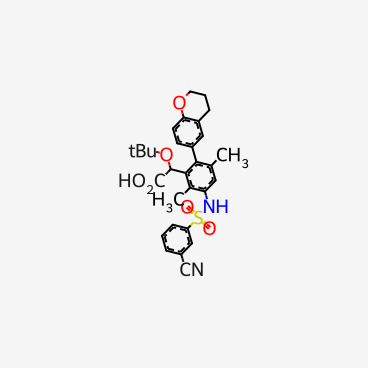 Cc1cc(NS(=O)(=O)c2cccc(C#N)c2)c(C)c(C(OC(C)(C)C)C(=O)O)c1-c1ccc2c(c1)CCCO2